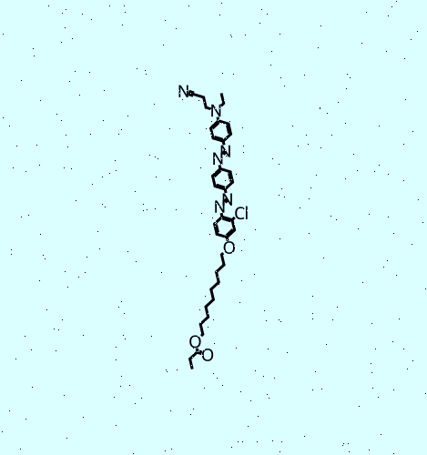 CCC(=O)OCCCCCCCCCCOc1ccc(N=Nc2ccc(N=Nc3ccc(N(CC)CCC#N)cc3)cc2)c(Cl)c1